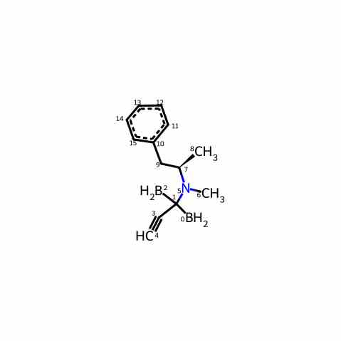 BC(B)(C#C)N(C)[C@H](C)Cc1ccccc1